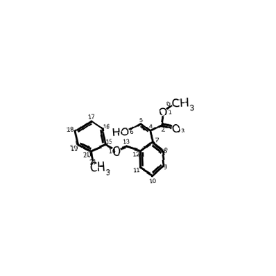 COC(=O)/C(=C/O)c1ccccc1COc1ccccc1C